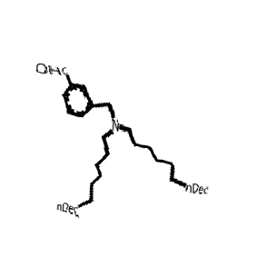 CCCCCCCCCCCCCCCCN(CCCCCCCCCCCCCCCC)Cc1cccc(C=O)c1